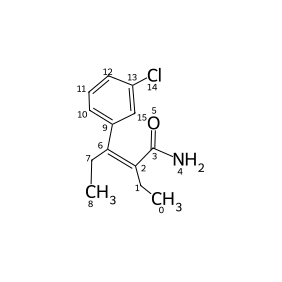 CCC(C(N)=O)=C(CC)c1cccc(Cl)c1